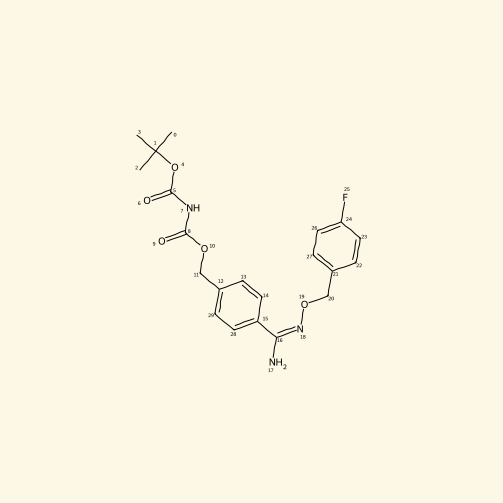 CC(C)(C)OC(=O)NC(=O)OCc1ccc(/C(N)=N\OCc2ccc(F)cc2)cc1